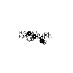 COc1cc(C(=O)N[C@@H](CC(=O)OC(C)(C)C)c2ccc3c(c2)OCO3)cc(OC)c1Oc1cccc2c1nc(N)n2C